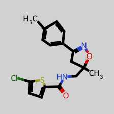 Cc1ccc(C2=NOC(C)(CNC(=O)c3ccc(Cl)s3)C2)cc1